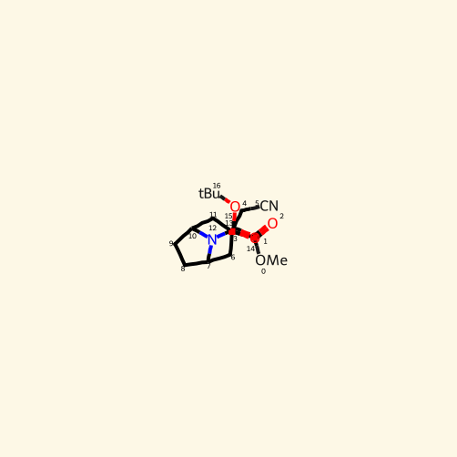 COC(=O)C1(CC#N)CC2CCC(C1)N2C(=O)OC(C)(C)C